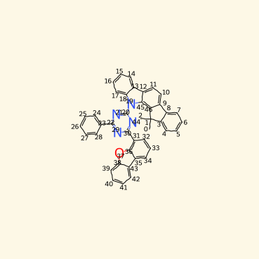 CC1(C)c2ccccc2-c2ccc3c4ccccc4n(-c4nc(-c5ccccc5)nc(-c5cccc6c5oc5ccccc56)n4)c3c21